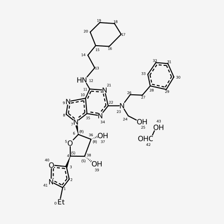 CCc1cc([C@H]2O[C@@H](n3cnc4c(NCCC5CCCCC5)nc(N(CO)CCc5ccccc5)nc43)[C@H](O)[C@@H]2O)on1.O=CO